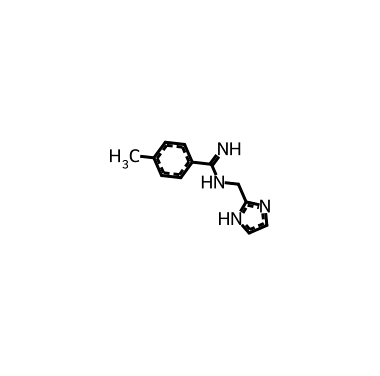 Cc1ccc(C(=N)NCc2ncc[nH]2)cc1